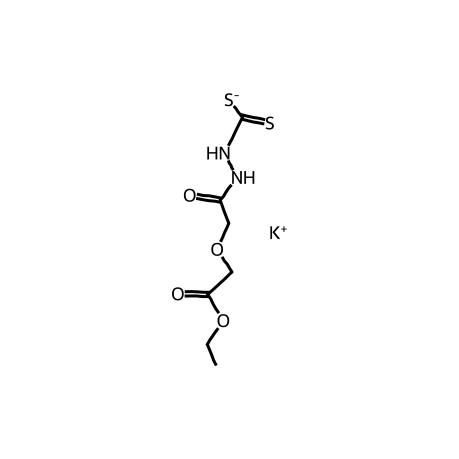 CCOC(=O)COCC(=O)NNC(=S)[S-].[K+]